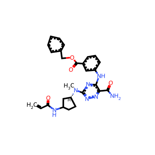 C=CC(=O)NC1CC[C@@H](N(C)c2nnc(C(N)=O)c(Nc3cccc(C(=O)OCc4ccccc4)c3)n2)C1